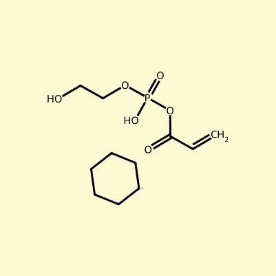 C=CC(=O)OP(=O)(O)OCCO.[CH]1CCCCC1